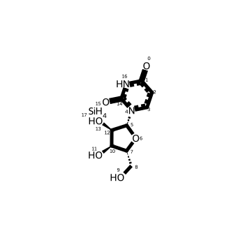 O=c1ccn([C@@H]2O[C@H](CO)[C@@H](O)[C@H]2O)c(=O)[nH]1.[SiH4]